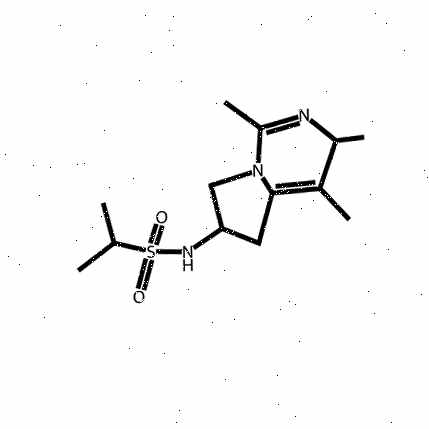 CC1=NC(C)C(C)=C2CC(NS(=O)(=O)C(C)C)CN12